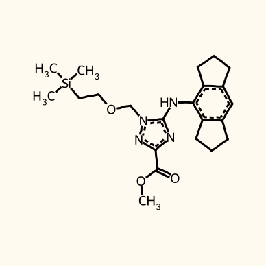 COC(=O)c1nc(Nc2c3c(cc4c2CCC4)CCC3)n(COCC[Si](C)(C)C)n1